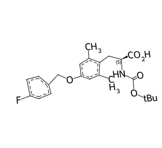 Cc1cc(OCc2ccc(F)cc2)cc(C)c1C[C@H](NC(=O)OC(C)(C)C)C(=O)O